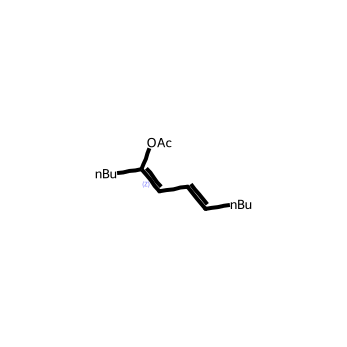 CCCCC=C/C=C(/CCCC)OC(C)=O